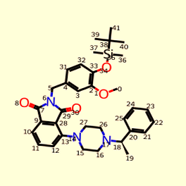 COc1cc(CN2C(=O)c3cccc(N4CCN([C@H](C)c5ccccc5)CC4)c3C2=O)ccc1O[Si](C)(C)C(C)(C)C